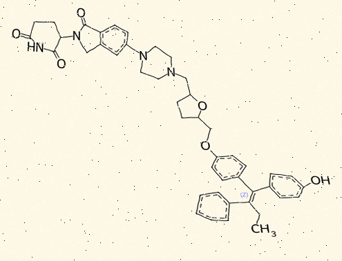 CC/C(=C(\c1ccc(O)cc1)c1ccc(OCC2CCC(CN3CCN(c4ccc5c(c4)CN(C4CCC(=O)NC4=O)C5=O)CC3)O2)cc1)c1ccccc1